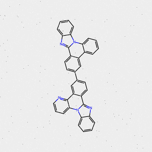 c1ccc2c(c1)nc1c3ccc(-c4ccc5c(c4)c4ncccc4n4c6ccccc6nc54)cc3c3ccccc3n21